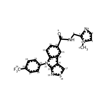 Cn1ccnc1CNC(=O)c1ccc2c(c1)c1csnc1n2-c1ccc(C(F)(F)F)cc1